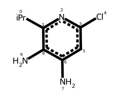 CC(C)c1nc(Cl)cc(N)c1N